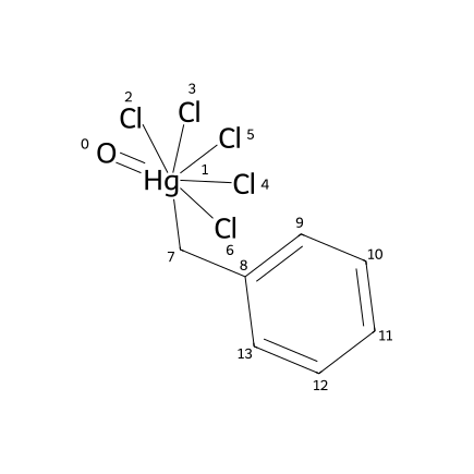 [O]=[Hg]([Cl])([Cl])([Cl])([Cl])([Cl])[CH2]c1ccccc1